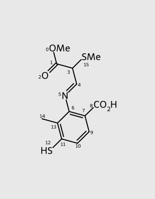 COC(=O)C(C=Nc1c(C(=O)O)ccc(S)c1C)SC